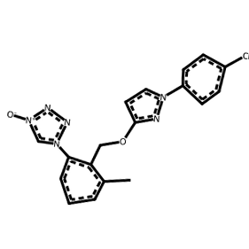 Cc1cccc(-n2c[n+]([O-])nn2)c1COc1ccn(-c2ccc(Cl)cc2)n1